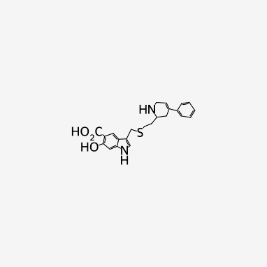 O=C(O)c1cc2c(CSCCC3CC(c4ccccc4)=CCN3)c[nH]c2cc1O